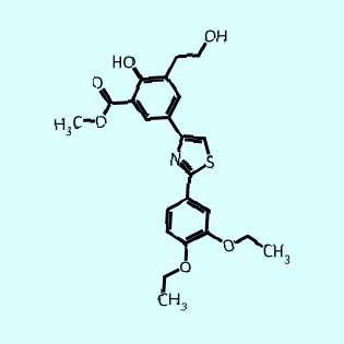 CCOc1ccc(-c2nc(-c3cc(CCO)c(O)c(C(=O)OC)c3)cs2)cc1OCC